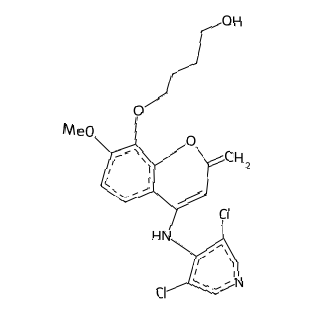 C=C1C=C(Nc2c(Cl)cncc2Cl)c2ccc(OC)c(OCCCCO)c2O1